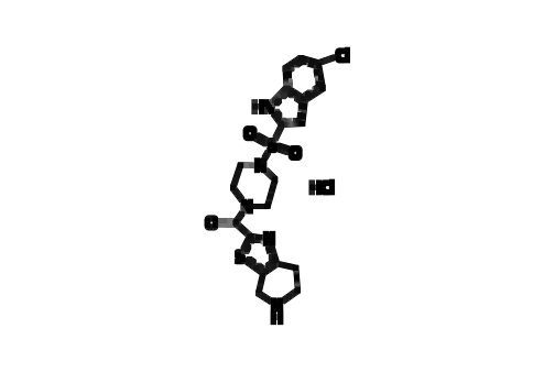 Cl.O=C(c1nc2c(s1)CNCC2)N1CCN(S(=O)(=O)c2cc3cc(Cl)ccc3[nH]2)CC1